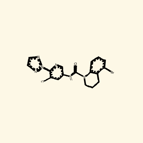 O=C(Nc1cnc(-n2nccn2)c(Cl)c1)N1CCCc2c(Br)cccc21